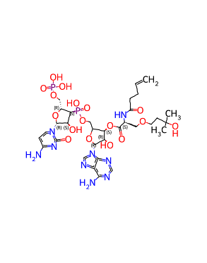 C=CCCC(=O)N[C@@H](COCCC(C)(C)O)C(=O)O[C@@H]1C(COP(=O)(O)[C@H]2[C@@H](O)[C@H](n3ccc(N)nc3=O)O[C@@H]2COP(=O)(O)O)O[C@@H](n2cnc3c(N)ncnc32)[C@@H]1O